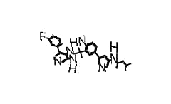 C=C(CC(C)C)Nc1cncc(-c2ccc(NC)c(C(C)(C)c3nc4c(-c5cccc(F)c5)cncc4[nH]3)c2)c1